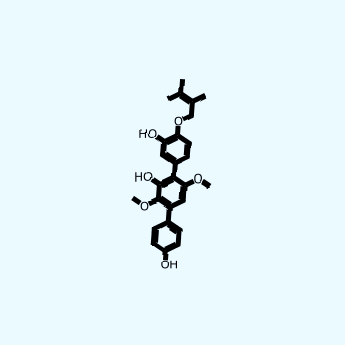 COc1cc(-c2ccc(O)cc2)c(OC)c(O)c1-c1ccc(OCC(C)=C(C)C)c(O)c1